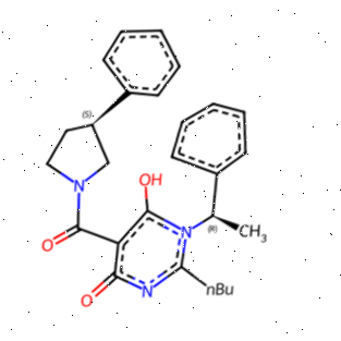 CCCCc1nc(=O)c(C(=O)N2CC[C@@H](c3ccccc3)C2)c(O)n1[C@H](C)c1ccccc1